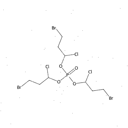 O=P(OC(Cl)CCBr)(OC(Cl)CCBr)OC(Cl)CCBr